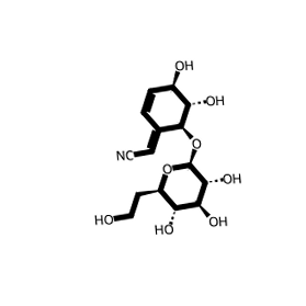 N#C/C=C1\C=C[C@@H](O)[C@H](O)[C@H]1O[C@@H]1O[C@H](CCO)[C@@H](O)[C@H](O)[C@H]1O